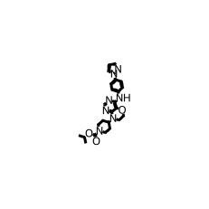 CC(C)OC(=O)N1CCC(N2CCOc3c(Nc4ccc(-n5cccn5)cc4)ncnc32)CC1